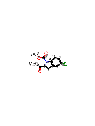 COC(=O)C1Cc2cc(Br)ccc2N1C(=O)OC(C)(C)C